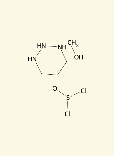 C1CNNNC1.CO.[O-][S+](Cl)Cl